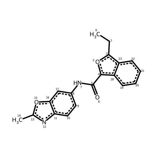 CCc1oc(C(=O)Nc2ccc3nc(C)oc3c2)c2ccccc12